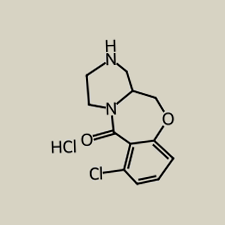 Cl.O=C1c2c(Cl)cccc2OCC2CNCCN12